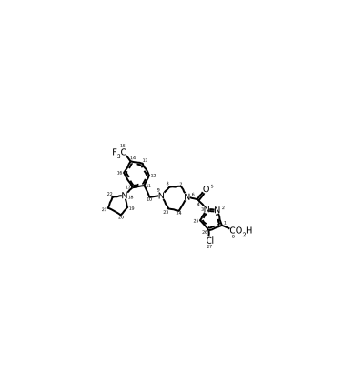 O=C(O)c1nn(C(=O)N2CCN(Cc3ccc(C(F)(F)F)cc3N3CCCC3)CC2)cc1Cl